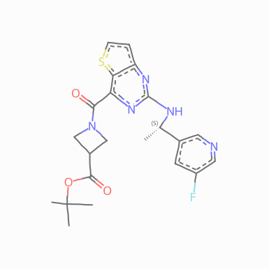 C[C@H](Nc1nc(C(=O)N2CC(C(=O)OC(C)(C)C)C2)c2sccc2n1)c1cncc(F)c1